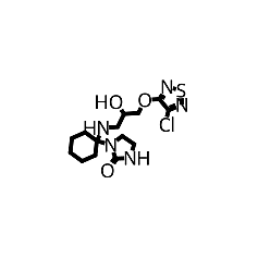 O=C1NCCN1C1(NCC(O)COc2nsnc2Cl)CCCCC1